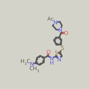 CC(=O)N1CCN(C(=O)c2cccc(Sc3cnc(NC(=O)c4ccc(N(C)C)cc4)s3)c2)CC1